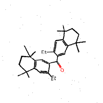 CCc1cc2c(cc1C(=O)c1cc3c(cc1CC)C(C)(C)CCC3(C)C)C(C)(C)CCC2(C)C